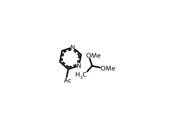 CC(=O)c1ccncn1.COC(C)OC